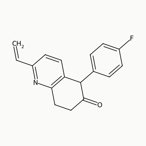 C=Cc1ccc2c(n1)CCC(=O)C2c1ccc(F)cc1